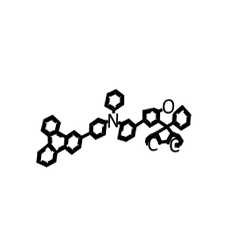 c1ccc(N(c2ccc(-c3ccc4c5ccccc5c5ccccc5c4c3)cc2)c2cccc(-c3ccc4c(c3)C3(c5ccccc5O4)c4ccccc4-c4ccccc43)c2)cc1